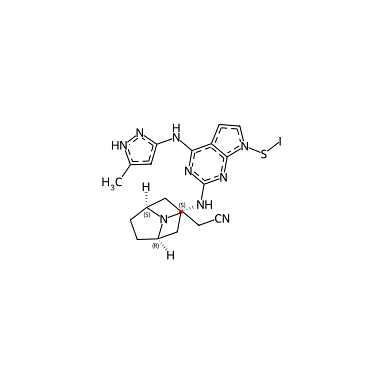 Cc1cc(Nc2nc(N[C@@H]3C[C@H]4CC[C@@H](C3)N4CCC#N)nc3c2ccn3SI)n[nH]1